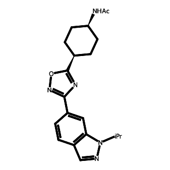 CC(=O)N[C@H]1CC[C@@H](c2nc(-c3ccc4cnn(C(C)C)c4c3)no2)CC1